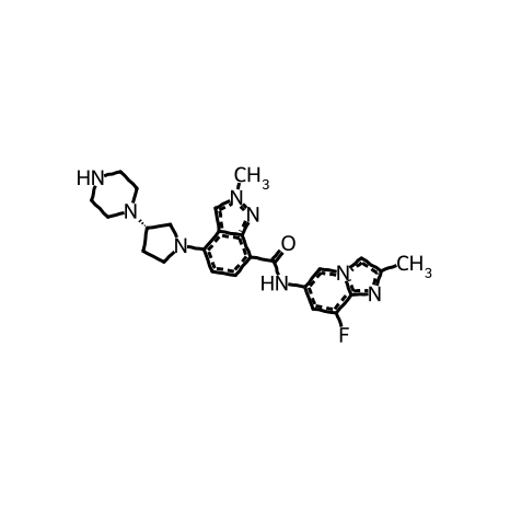 Cc1cn2cc(NC(=O)c3ccc(N4CC[C@H](N5CCNCC5)C4)c4cn(C)nc34)cc(F)c2n1